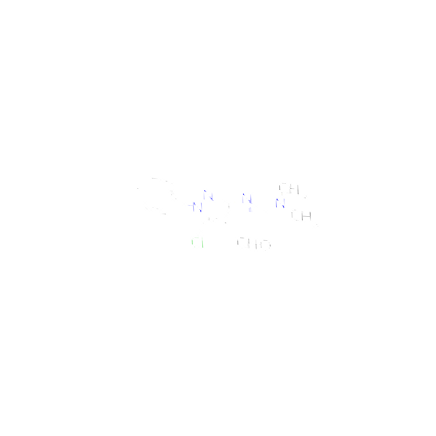 CN(C)/C=N/c1nn(-c2ccccc2)c(Cl)c1C=O